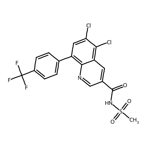 CS(=O)(=O)NC(=O)c1cnc2c(-c3ccc(C(F)(F)F)cc3)cc(Cl)c(Cl)c2c1